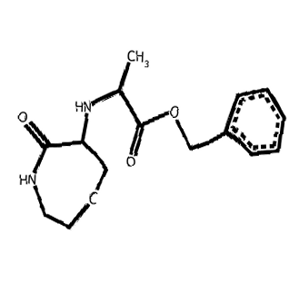 CC(NC1CCCCNC1=O)C(=O)OCc1ccccc1